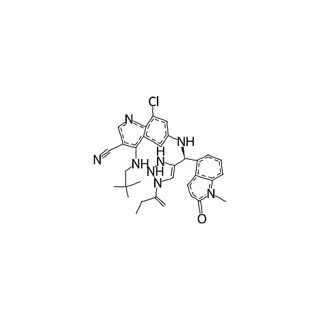 C=C(CC)N1C=C([C@@H](Nc2cc(Cl)c3ncc(C#N)c(NCC(C)(C)C)c3c2)c2cccc3c2ccc(=O)n3C)NN1